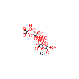 O.O.O.O.[O]=[Cr](=[O])([OH])[O][Cr](=[O])(=[O])[OH].[O]=[Cr](=[O])([OH])[O][Cr](=[O])(=[O])[OH].[Os]